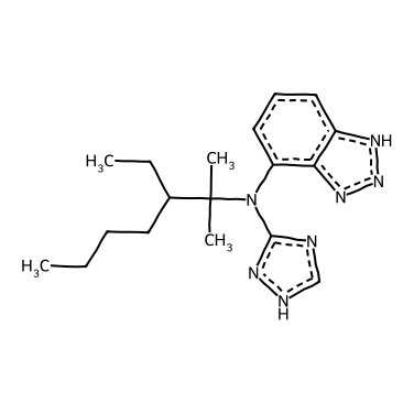 CCCCC(CC)C(C)(C)N(c1nc[nH]n1)c1cccc2[nH]nnc12